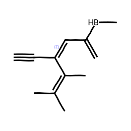 C#C/C(=C/C(=C)BC)C(C)=C(C)C